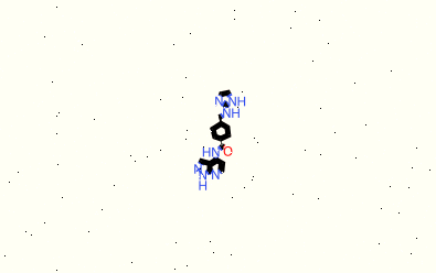 O=C(Nc1ccnc2[nH]ncc12)[C@H]1CC[C@H](CNC2=NCCN2)CC1